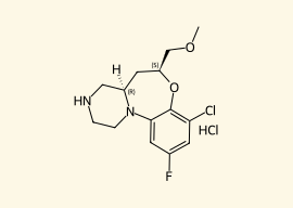 COC[C@@H]1C[C@@H]2CNCCN2c2cc(F)cc(Cl)c2O1.Cl